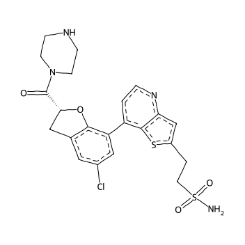 NS(=O)(=O)CCc1cc2nccc(-c3cc(Cl)cc4c3O[C@@H](C(=O)N3CCNCC3)C4)c2s1